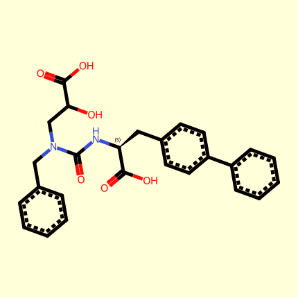 O=C(O)C(O)CN(Cc1ccccc1)C(=O)N[C@@H](Cc1ccc(-c2ccccc2)cc1)C(=O)O